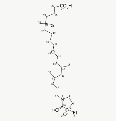 CC[N+]1([O-])CCN(CCCC(C)CC(C)CCOCCCCC(C)(C)CCCC(=O)O)C1=O